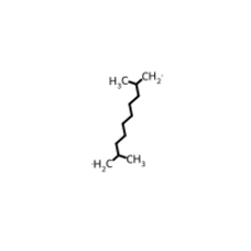 [CH2]C(C)CCCCCCC([CH2])C